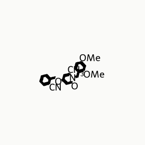 COc1ccc(Cn2c(C)cc(OCc3ccccc3C#N)cc2=O)c(OC)c1